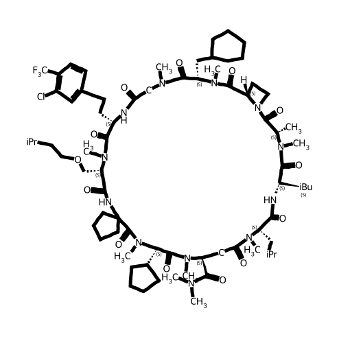 CC[C@H](C)[C@@H]1NC(=O)[C@H](CC(C)C)N(C)C(=O)C[C@@H](C(=O)N(C)C)N(C)C(=O)[C@H](C2CCCC2)N(C)C(=O)C2(CCCC2)NC(=O)[C@H](COCCC(C)C)N(C)C(=O)[C@H](CCc2ccc(C(F)(F)F)c(Cl)c2)NC(=O)CN(C)C(=O)[C@H](CC2CCCCC2)N(C)C(=O)[C@@H]2CCN2C(=O)[C@H](C)N(C)C1=O